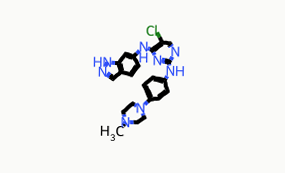 CN1CCN(c2ccc(Nc3ncc(Cl)c(Nc4ccc5cn[nH]c5c4)n3)cc2)CC1